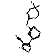 N#Cc1[nH]nnc1-c1cccc(OC2CCC(F)(F)CC2)c1